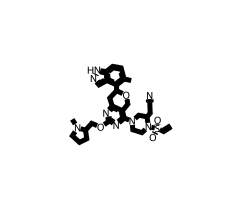 C=CS(=O)(=O)N1CCN(c2nc(OCC3CCCN3C)nc3c2COC(c2c(C)ccc4[nH]ncc24)C3)CC1CC#N